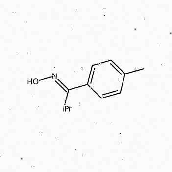 Cc1ccc(/C(=N/O)C(C)C)cc1